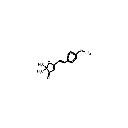 CSc1ccc(C=CC2=CC(=O)C(C)(C)O2)cc1